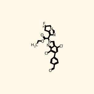 CCOC(=O)C(c1ncn2c1C[C@@H](F)C2)n1cc2c(Cl)cc(-c3ccc(C=O)cc3)c(Cl)c2n1